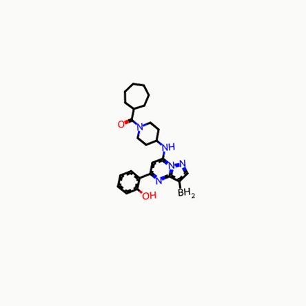 Bc1cnn2c(NC3CCN(C(=O)C4CCCCCC4)CC3)cc(-c3ccccc3O)nc12